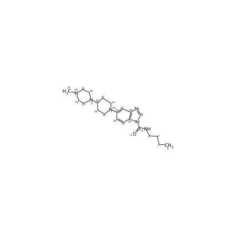 CCCCNC(=O)n1cnc2cc(N3CCC(N4CCN(C)CC4)CC3)ccc21